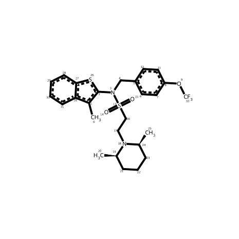 Cc1c(N(Cc2ccc(OC(F)(F)F)cc2)S(=O)(=O)CCN2[C@H](C)CCC[C@@H]2C)sc2ccccc12